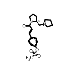 O=C(C=Cc1ccc(OS(=O)(=O)C(F)(F)F)cc1)N1CCC[C@H]1CN1CCCC1